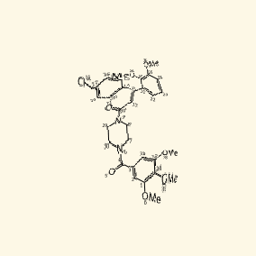 COc1cc(C(=O)N2CCN(C(=O)/C=C(\c3ccc(Cl)cc3)c3cccc(OC)c3OC)CC2)cc(OC)c1OC